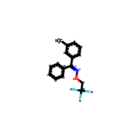 Cc1cccc(/C(=N/OCC(F)(F)F)c2ccccc2)c1